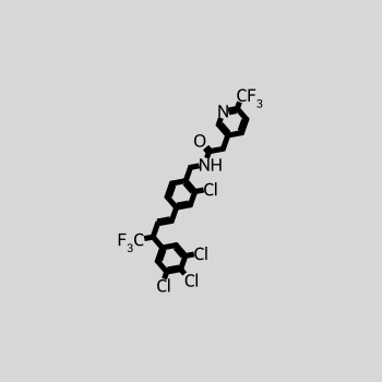 O=C(Cc1ccc(C(F)(F)F)nc1)NCc1ccc(/C=C/C(c2cc(Cl)c(Cl)c(Cl)c2)C(F)(F)F)cc1Cl